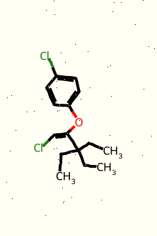 CCC(CC)(CC)C(=CCl)Oc1ccc(Cl)cc1